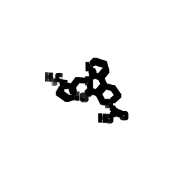 Cn1ccnc1Cn1c(=O)c2c(c3cccnc31)CCN(C(=O)O)C2